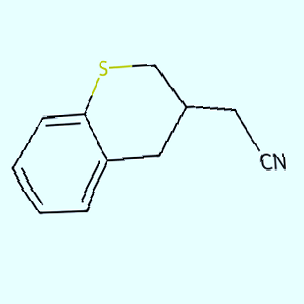 N#CCC1CSc2ccccc2C1